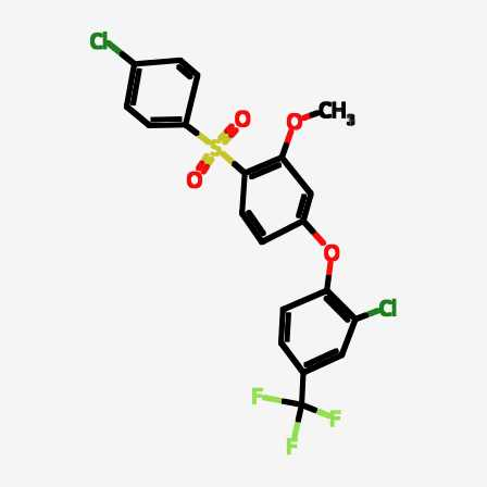 COc1cc(Oc2ccc(C(F)(F)F)cc2Cl)ccc1S(=O)(=O)c1ccc(Cl)cc1